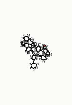 c1ccc(-c2ccc(N(c3ccc4c(c3)C3(c5ccccc5Oc5ccccc53)c3ccccc3-4)c3cccc4c3Sc3ccccc3C43c4ccccc4-c4ccccc43)cc2)cc1